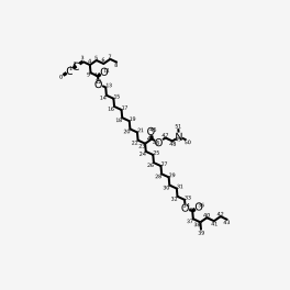 C=C=C=CC(CCCC)CC(=O)OCCCCCCCCCCC(CCCCCCCCCCOC(=O)CC(C)CCCC)C(=O)OCCN(C)C